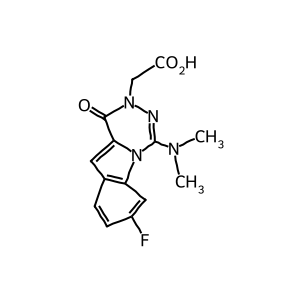 CN(C)c1nn(CC(=O)O)c(=O)c2cc3ccc(F)cc3n12